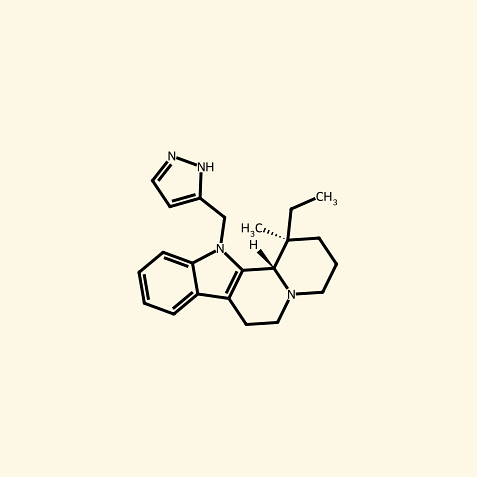 CC[C@@]1(C)CCCN2CCc3c(n(Cc4ccn[nH]4)c4ccccc34)[C@@H]21